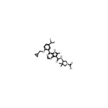 CCC(=O)N1CC(NC(=O)c2c(C)[nH]c3c(-c4cc(C(F)F)ccc4OCC4CC4)ncnc23)C(C)(C)C1